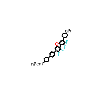 CCCCCC1CCC(c2ccc(-c3cc4oc5cc(C6CCC(CCC)CC6)c(F)c(F)c5c4c(F)c3F)cc2)CC1